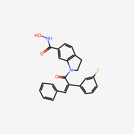 O=C(NO)c1ccc2c(c1)N(C(=O)/C(=C\c1ccccc1)c1cccc(F)c1)CC2